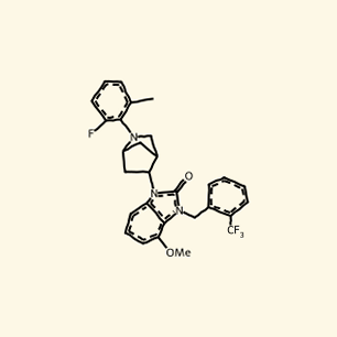 COc1cccc2c1n(Cc1ccccc1C(F)(F)F)c(=O)n2C1CC2CC1CN2c1c(C)cccc1F